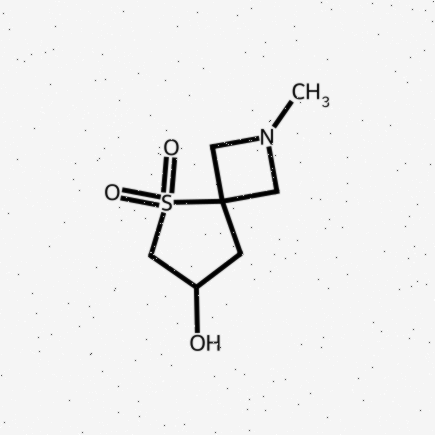 CN1CC2(CC(O)CS2(=O)=O)C1